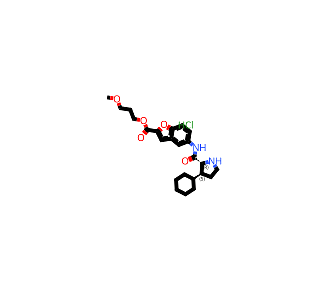 COCCCOC(=O)c1cc2cc(NC(=O)[C@@H]3NCC[C@H]3C3CCCCC3)ccc2o1.Cl